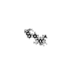 COc1cc2nccc(Oc3ccc(NC(=O)c4c(C)n(C)c(C)c(C(=O)NC5CC5)c4=O)cc3F)c2nc1OC